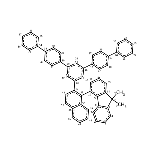 CC1(C)c2ccccc2-c2c(-c3c(-c4nc(-c5ccc(-c6ccccc6)cc5)nc(-c5ccc(-c6ccccc6)cc5)n4)ccc4ccccc34)cccc21